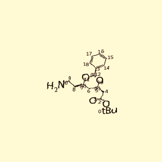 CC(C)(C)OC(=O)C[C@H]1C[C@@H](CCN)O[C@@H](c2ccccc2)O1